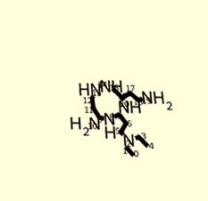 CC[N+](CC)CCC1NC(N)CCNNCC(CCN)N1